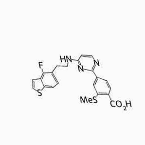 CSc1cc(-c2nccc(NCCc3ccc4sccc4c3F)n2)ccc1C(=O)O